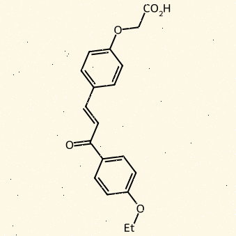 CCOc1ccc(C(=O)C=Cc2ccc(OCC(=O)O)cc2)cc1